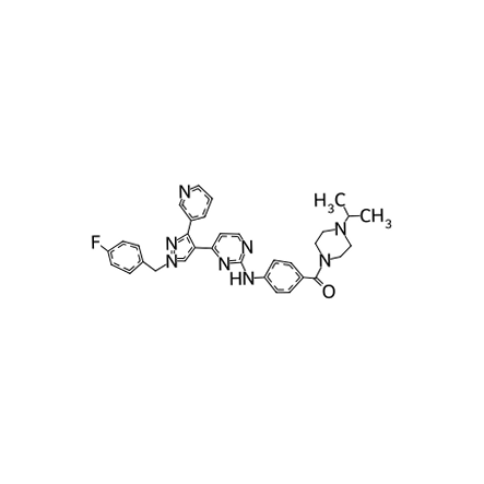 CC(C)N1CCN(C(=O)c2ccc(Nc3nccc(-c4cn(Cc5ccc(F)cc5)nc4-c4cccnc4)n3)cc2)CC1